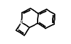 C1=CN2C=CC2c2ccccc21